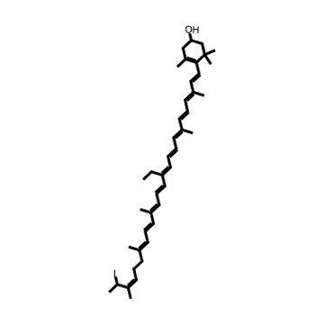 CCC(/C=C/C=C(C)/C=C/C=C(\C)CC/C=C(/C)C(C)I)=C\C=C\C=C(C)\C=C\C=C(C)\C=C\C1=C(C)CC(O)CC1(C)C